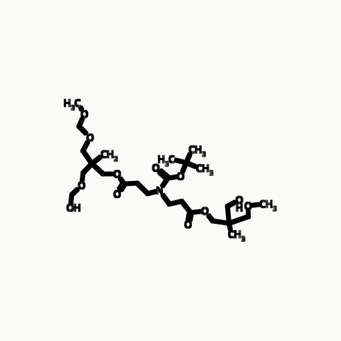 COCOCC(C)(COCO)COC(=O)CCN(CCC(=O)OCC(C)(CO)COC)C(=O)OC(C)(C)C